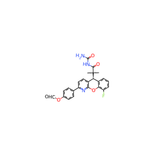 CC(C)(C(=O)NC(N)=O)[C@@H]1c2ccc(-c3ccc(OC=O)cc3)nc2Oc2c(F)cccc21